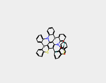 Fc1cccc(F)c1N1c2ccccc2B2c3ccccc3N3c4ccccc4B4c5ccccc5Sc5c4c3c2c1c5-c1cccc2sc3ccccc3c12